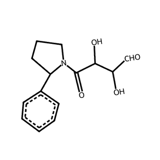 O=CC(O)C(O)C(=O)N1CCCC1c1ccccc1